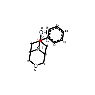 OC1CC2COCC(C1)N2Cc1ccccc1